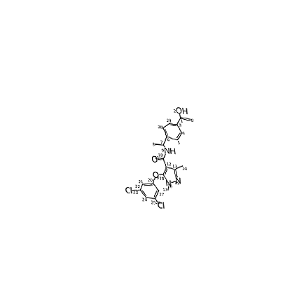 C=C(O)c1ccc([C@H](C)NC(=O)c2c(C)nn(C)c2Oc2cc(Cl)cc(Cl)c2)cc1